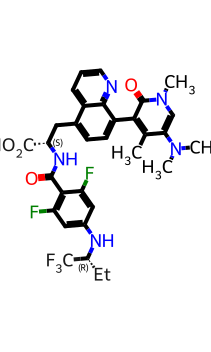 CC[C@@H](Nc1cc(F)c(C(=O)N[C@@H](Cc2ccc(-c3c(C)c(N(C)C)cn(C)c3=O)c3ncccc23)C(=O)O)c(F)c1)C(F)(F)F